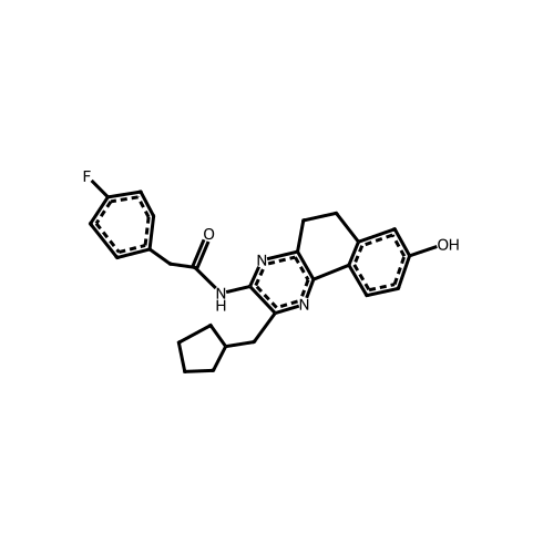 O=C(Cc1ccc(F)cc1)Nc1nc2c(nc1CC1CCCC1)-c1ccc(O)cc1CC2